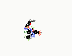 COc1ccc(CC2(S(=O)(=O)Nc3nn(CC(F)F)c4c(-n5c([C@H](Cc6cc(F)cc(F)c6)NC(=O)O)nc6cc(C(C)(C)S(C)(=O)=O)ccc6c5=O)ccc(Cl)c34)CC2)cc1